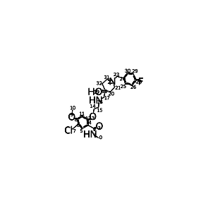 CNC(=O)c1cc(Cl)c(OC)cc1OCCNCC1(O)CCN(Cc2ccc(F)cc2)CC1